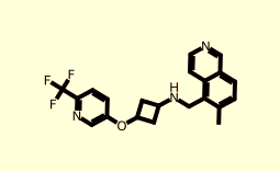 Cc1ccc2cnccc2c1CNC1CC(Oc2ccc(C(F)(F)F)nc2)C1